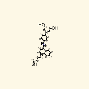 OCCN(CCO)c1ccc(/N=N/c2cc[n+](CCCCS)c3ccccc23)cc1